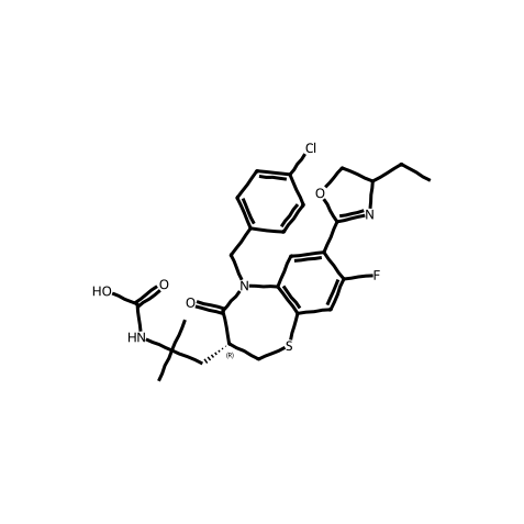 CCC1COC(c2cc3c(cc2F)SC[C@H](CC(C)(C)NC(=O)O)C(=O)N3Cc2ccc(Cl)cc2)=N1